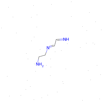 N=CC=NCCN